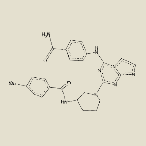 CC(C)(C)c1ccc(C(=O)NC2CCCN(c3nc(Nc4ccc(C(N)=O)cc4)n4ccnc4n3)C2)cc1